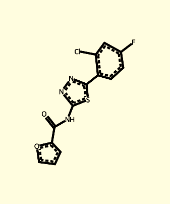 O=C(Nc1nnc(-c2ccc(F)cc2Cl)s1)c1ccco1